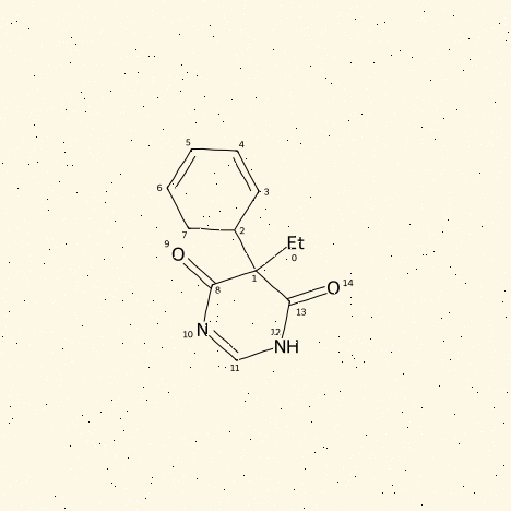 CCC1(C2C=CC=CC2)C(=O)N=CNC1=O